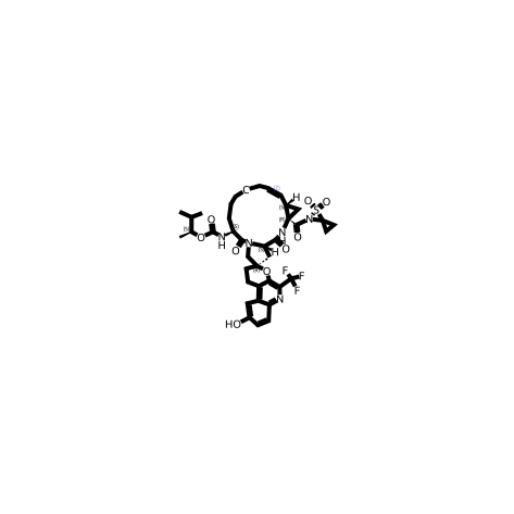 CC(C)[C@H](C)OC(=O)N[C@H]1CCCCC/C=C\[C@@H]2C[C@@]2(C(=O)N2C3(CC3)S2(=O)=O)NC(=O)[C@@H]2C[C@]3(CCc4c(c(C(F)(F)F)nc5ccc(O)cc45)O3)CN2C1=O